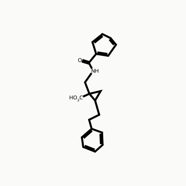 O=C(NCC1(C(=O)O)CC1CCc1ccccc1)c1ccccc1